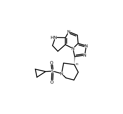 O=S(=O)(C1CC1)N1CCC[C@@H](c2nnc3cnc4c(n23)CCN4)C1